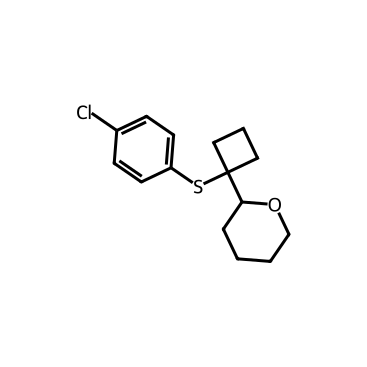 Clc1ccc(SC2(C3CCCCO3)CCC2)cc1